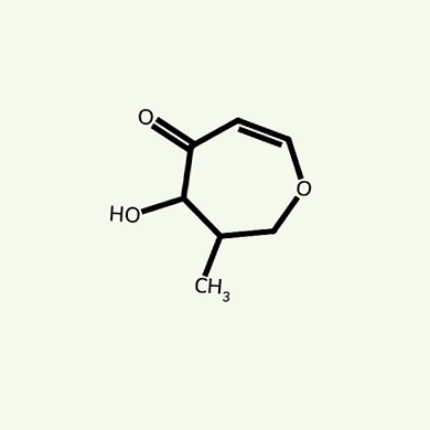 CC1COC=CC(=O)C1O